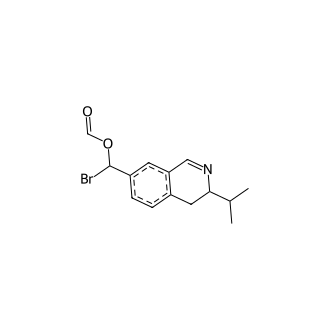 CC(C)C1Cc2ccc(C(Br)OC=O)cc2C=N1